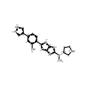 CN(c1nc2sc(-c3ccc(-c4cn[nH]c4)cc3O)nc2s1)[C@@H]1CCNC1